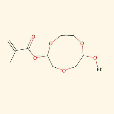 C=C(C)C(=O)OC1COCC(OCC)OCCO1